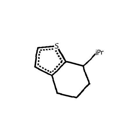 CC(C)C1CCCc2ccsc21